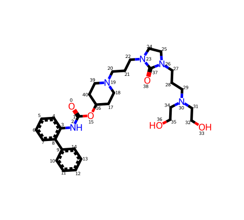 O=C(Nc1ccccc1-c1ccccc1)OC1CCN(CCCN2CCN(CCCN(CCO)CCO)C2=O)CC1